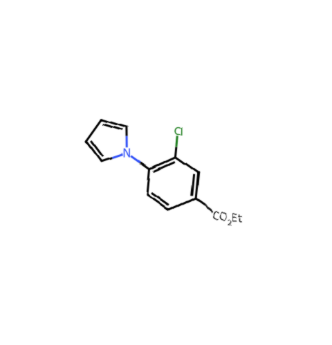 CCOC(=O)c1ccc(-n2cccc2)c(Cl)c1